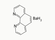 [BaH2].c1cnc2c(c1)ccc1cccnc12